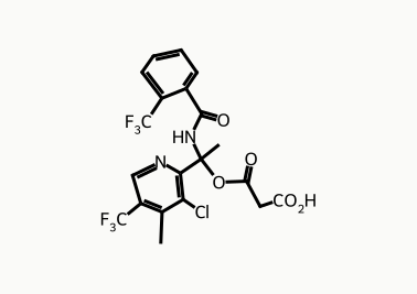 Cc1c(C(F)(F)F)cnc(C(C)(NC(=O)c2ccccc2C(F)(F)F)OC(=O)CC(=O)O)c1Cl